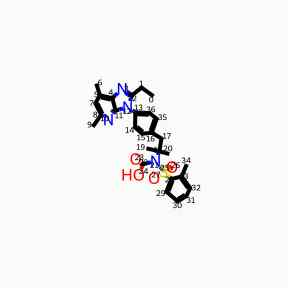 CCc1nc2c(C)cc(C)nc2n1-c1ccc(CC(C)(C)N(C(=O)O)S(=O)(=O)c2ccccc2C)cc1